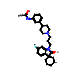 CCCC(=O)Nc1cccc(C2CCN(CCCNC(=O)C3(c4ccc(F)cc4)CCCCC3)CC2)c1